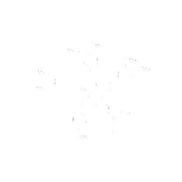 CCOP(=O)(/C=C/[C@H]1O[C@H](Oc2ccc(OC)cc2)[C@@H](OCc2ccc(OC)c(OC)c2)[C@@H](OCc2ccc(OC)c(OC)c2)[C@@H]1OCc1ccc(OC)c(OC)c1)OCC